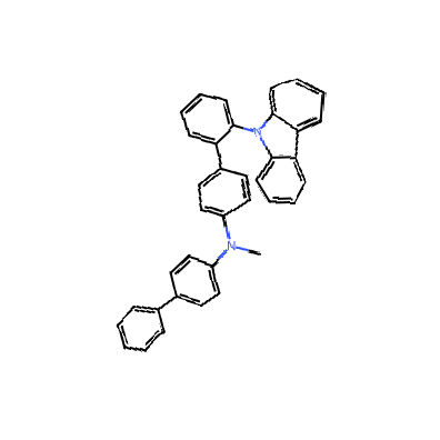 CN(c1ccc(-c2ccccc2)cc1)c1ccc(-c2ccccc2-n2c3ccccc3c3ccccc32)cc1